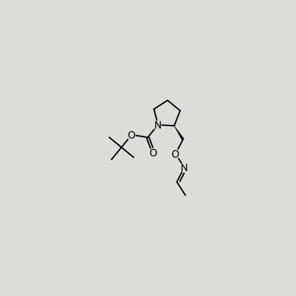 C/C=N/OC[C@@H]1CCCN1C(=O)OC(C)(C)C